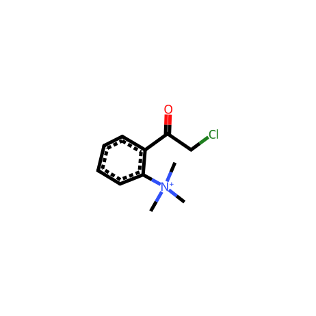 C[N+](C)(C)c1ccccc1C(=O)CCl